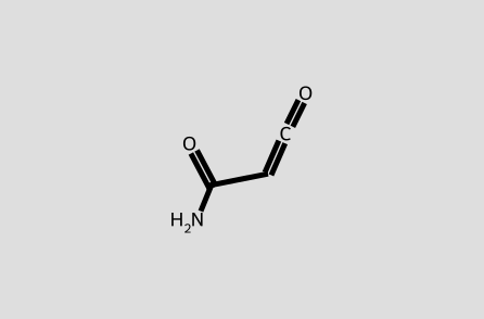 NC(=O)[C]=C=O